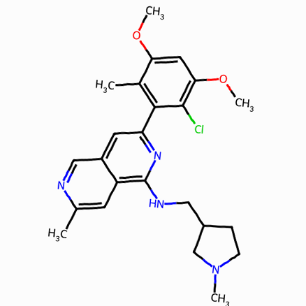 COc1cc(OC)c(Cl)c(-c2cc3cnc(C)cc3c(NCC3CCN(C)C3)n2)c1C